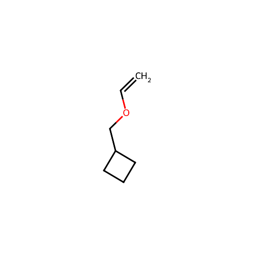 C=COCC1CCC1